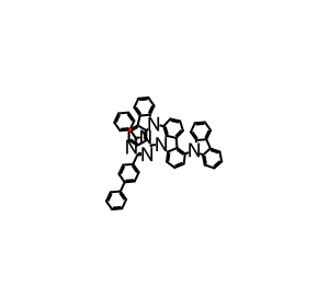 c1ccc(-c2ccc(-c3nc(-c4ccccc4)nc(-n4c5cccc(-n6c7ccccc7c7ccccc76)c5c5cccc(-n6c7ccccc7c7ccccc76)c54)n3)cc2)cc1